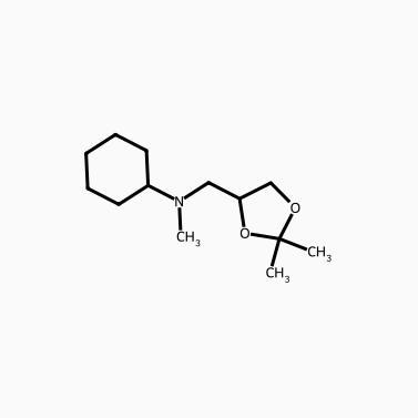 CN(CC1COC(C)(C)O1)C1CCCCC1